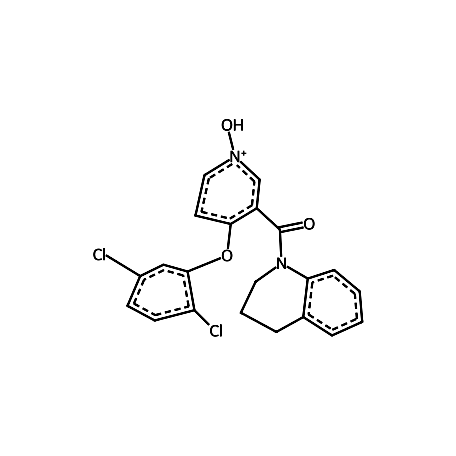 O=C(c1c[n+](O)ccc1Oc1cc(Cl)ccc1Cl)N1CCCc2ccccc21